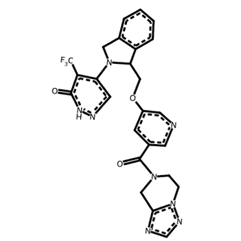 O=C(c1cncc(OCC2c3ccccc3CN2c2cn[nH]c(=O)c2C(F)(F)F)c1)N1CCn2ncnc2C1